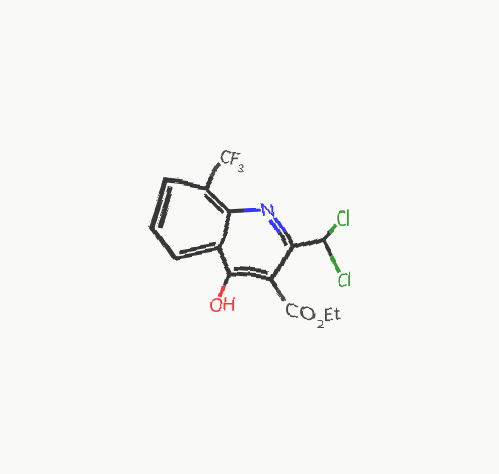 CCOC(=O)c1c(C(Cl)Cl)nc2c(C(F)(F)F)cccc2c1O